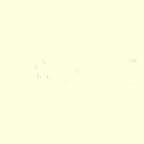 CC(C)c1c[nH]c2ccc(C3CCN(C(=O)Cc4nnn(C)n4)CC3)cc12